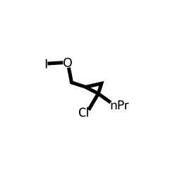 CCCC1(Cl)CC1COI